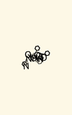 O=C(NCc1cccnc1)[C@H](CCc1ccccc1)OC(=O)[C@@H]1CCCCN1S(=O)(=O)Cc1ccccc1